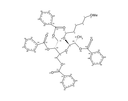 COCCCCCO[C@H](OC(COC(=O)c1ccccc1)[C@@H](COC(=O)c1ccccc1)OC(=O)c1ccccc1)[C@H](C)OC(=O)c1ccccc1